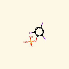 O=P(O)(O)Oc1c(I)cc(I)cc1I